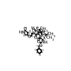 CC(C)(C)OC[C@H](NC(=O)OCc1ccccc1)C(=O)N1C[C@H]2[C@@H]([C@H]1C(=O)N[C@H](C=O)C[C@@H]1CCNC1=O)C2(C)C